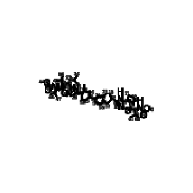 COC(=O)N[C@H](C(=O)N1CCC[C@H]1c1ncc(-c2ccc3cc(-c4ccc(-c5cnc([C@H](CC(C)C)N(C(=O)[C@@H](NC(=O)OC)C(C)C)C(C)C)[nH]5)cc4)ccc3c2)[nH]1)C(C)C